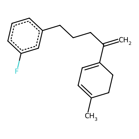 C=C(CCCc1cccc(F)c1)C1=CC=C(C)CC1